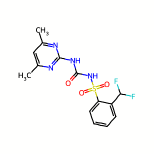 Cc1cc(C)nc(NC(=O)NS(=O)(=O)c2ccccc2C(F)F)n1